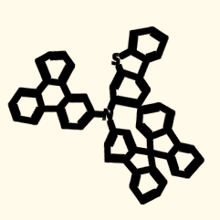 c1ccc2c(c1)-c1ccccc1C21c2ccccc2-c2ccc(N(c3ccc4c(c3)sc3ccccc34)c3ccc4c5ccccc5c5ccccc5c4c3)cc21